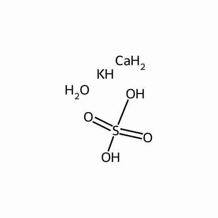 O.O=S(=O)(O)O.[CaH2].[KH]